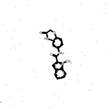 Cn1c(C(=O)Nc2ccc3c(c2)NC(=O)CO3)cc2ccccc21